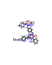 CCC(=O)NC(Cc1ccc(CNC(=O)C(NC(=O)C(F)(F)c2ccc(OC)nc2)C2CCCCC2)cc1)C(=O)N1CCN(C)CC1